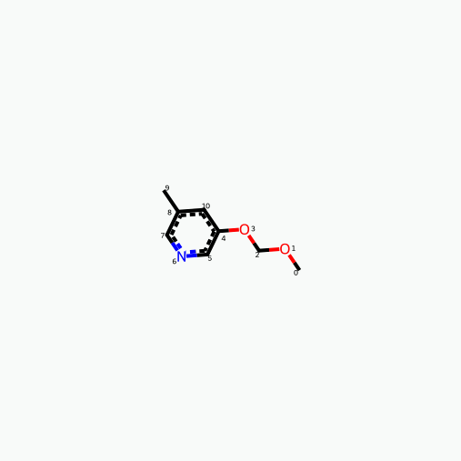 COCOc1cncc(C)c1